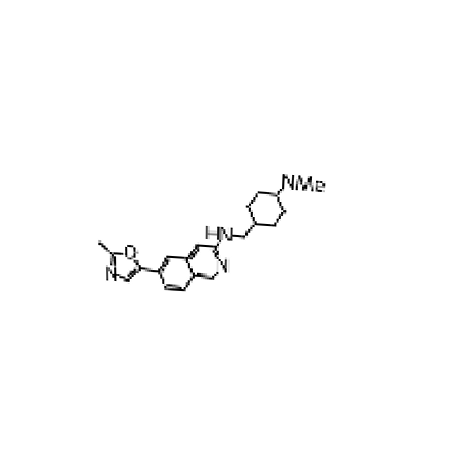 CNC1CCC(CNc2cc3cc(-c4cnc(C)o4)ccc3cn2)CC1